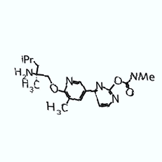 CNC(=O)Oc1nccc(-c2cnc(OC[C@@](C)(N)CC(C)C)c(C)c2)n1